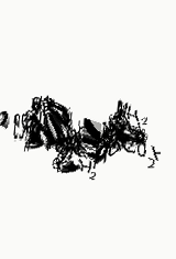 CSCC[C@H](NC(=O)[C@@H](N)CS)C(=O)N[C@H](C(=O)N[C@@H](Cc1ccc(O)cc1)C(=O)N[C@@H](CCC(N)=O)C(=O)N[C@@H](Cc1ccc(O)cc1)C(=O)NCC(=O)N[C@@H](CC(N)=O)C(=O)N[C@@H](Cc1ccccc1)C(=O)N[C@@H](CO)C(=O)O)C(C)C